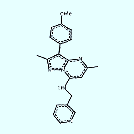 COc1ccc(-c2c(C)nn3c(NCc4cccnc4)cc(C)nc23)cc1